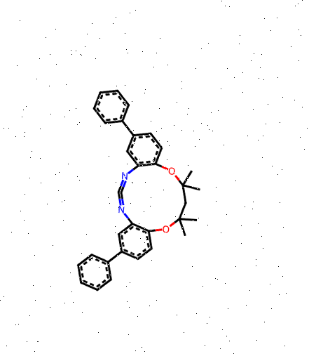 CC1(C)CC(C)(C)Oc2ccc(-c3ccccc3)cc2N=C=Nc2cc(-c3ccccc3)ccc2O1